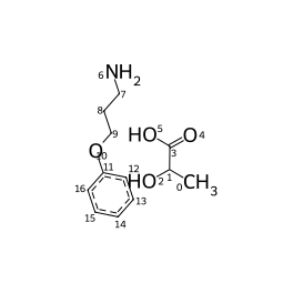 CC(O)C(=O)O.NCCCOc1ccccc1